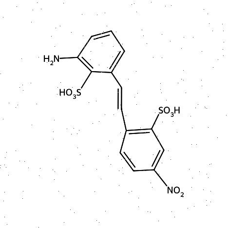 Nc1cccc(C=Cc2ccc([N+](=O)[O-])cc2S(=O)(=O)O)c1S(=O)(=O)O